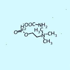 C[N+](C)(C)CCO[PH2]=O.NC(=O)[O-]